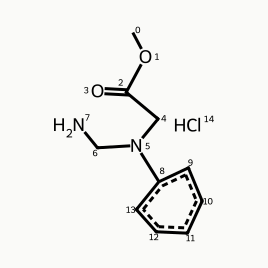 COC(=O)CN(CN)c1ccccc1.Cl